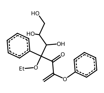 C=C(Oc1ccccc1)C(=O)C(OCC)(c1ccccc1)C(O)C(O)CO